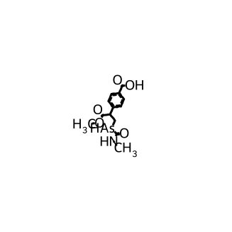 CNC(=O)[AsH]CC(C(=O)OC)c1ccc(C(=O)O)cc1